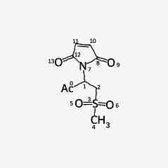 CC(=O)C(CS(C)(=O)=O)N1C(=O)C=CC1=O